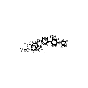 CO[C@H]1C[C@]2(C)C[C@@]1(C)C[C@@H](Oc1ncc(-c3ccc(-n4ccnc4)cc3O)nn1)[C@@H]2F